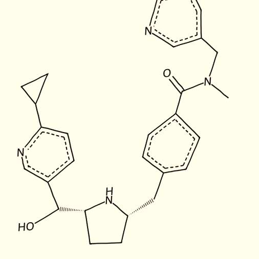 CN(Cc1cccnc1)C(=O)c1ccc(C[C@@H]2CC[C@H](C(O)c3ccc(C4CC4)nc3)N2)cc1